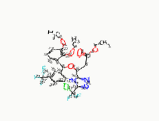 CCOC(=O)CC1OC(c2cccc(OC)c2OC)c2cc(C(F)(F)F)ccc2-n2c1nnc2C(F)(F)Cl